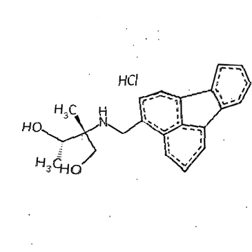 C[C@H](O)[C@@](C)(CO)NCc1ccc2c3c(cccc13)-c1ccccc1-2.Cl